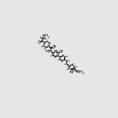 CC(C)(N)C(=O)N1CCN(C(=O)Nc2ccn(-c3ccc(CCN4CC5C(N)[C@@H]5C4)cc3)c(=O)n2)CC1